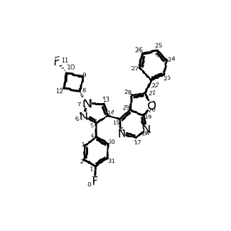 Fc1ccc(-c2nn([C@H]3C[C@@H](F)C3)cc2-c2ncnc3oc(-c4ccccc4)cc23)cc1